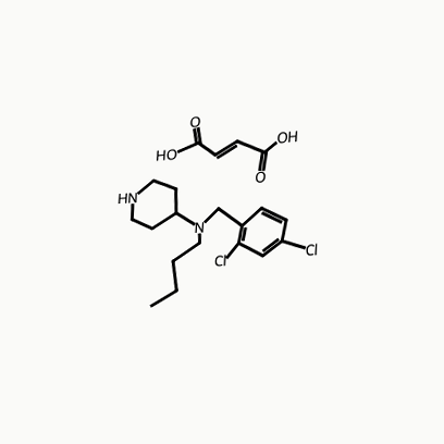 CCCCN(Cc1ccc(Cl)cc1Cl)C1CCNCC1.O=C(O)C=CC(=O)O